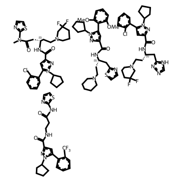 CN(C(=O)C[C@H](CCN1CCCC(F)(F)C1)NC(=O)c1cc(-c2ccccc2Cl)n(C2CCCC2)n1)c1nccs1.COc1cccc(OC)c1-c1cc(C(=O)N[C@@H](CCN2CCCCC2)Cc2nccs2)nn1C1CCCC1.O=C(CCNC(=O)c1cc(-c2ccccc2C(F)(F)F)n(C2CCCC2)n1)Nc1nccs1.O=C(N[C@@H](CCN1CCCC(F)(F)C1)Cc1nnc[nH]1)c1cc(-c2ccccc2Cl)n(C2CCCC2)n1